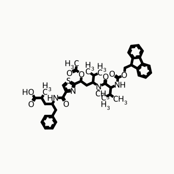 CC(=O)OC(CC(C(C)C)N(C)C(=O)C(NC(=O)OCC1c2ccccc2-c2ccccc21)C(C)C)c1nc(C(=O)NC(Cc2ccccc2)CC(C)C(=O)O)cs1